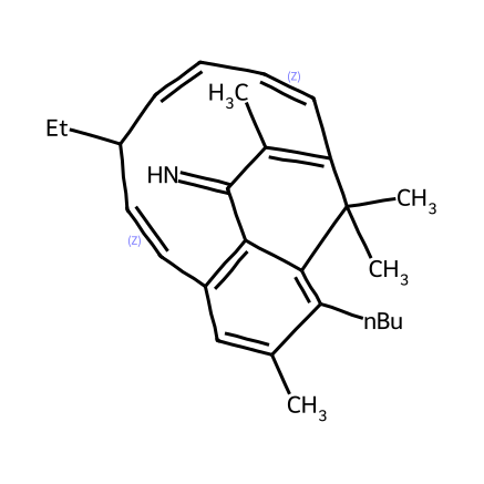 CCCCc1c(C)cc2c3c1C(C)(C)C(=C(C)C3=N)/C=C\C=CC(CC)/C=C\2